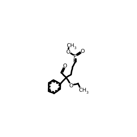 CCOC(C=O)(CCC[PH](=O)OC)c1ccccc1